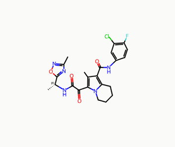 Cc1noc([C@@H](C)NC(=O)C(=O)c2c(C)c(C(=O)Nc3ccc(F)c(Cl)c3)c3n2CCCC3)n1